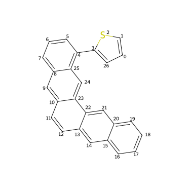 c1csc(-c2cccc3cc4ccc5cc6ccccc6cc5c4cc23)c1